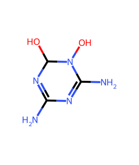 NC1=NC(O)N(O)C(N)=N1